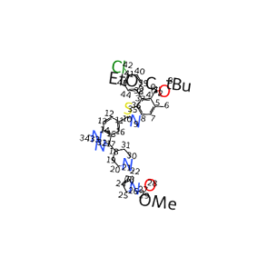 CCOC(=O)[C@@H](OC(C)(C)C)c1c(C)cc2nc(-c3ccc4c(c3)c(C3CCN(C[C@H]5CCN5C(=O)OC)CC3)nn4C)sc2c1-c1ccc(Cl)cc1